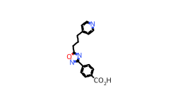 O=C(O)c1ccc(-c2noc(CCCc3ccncc3)n2)cc1